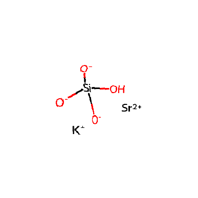 [K+].[O-][Si]([O-])([O-])O.[Sr+2]